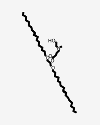 CCCCCCCCC=CCCCCCCCCOCC(COCCCCCCCCC=CCCCCCCCC)OC(=O)CCCN(C)CCO